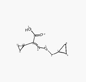 O=C(O)/C(=N\OCC1CC1)C1CC1